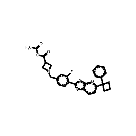 O=C(OC(=O)C(F)(F)F)C1CN(Cc2ccc(-c3nc4ccc(C5(c6ccccc6)CCC5)nc4s3)c(F)c2)C1